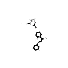 CCCNCC(COc1ccc2c(=O)cc(-c3ccccc3)oc2c1)OC(=O)CCC